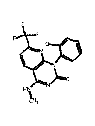 CNc1nc(=O)n(-c2ccccc2Cl)c2nc(C(F)(F)F)ccc12